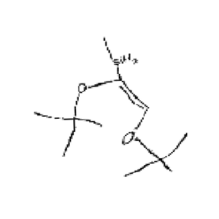 C[SiH2]C(=COC(C)(C)C)OC(C)(C)C